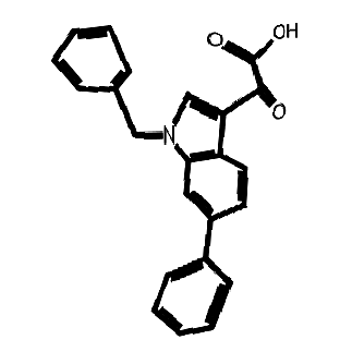 O=C(O)C(=O)c1cn(Cc2ccccc2)c2cc(-c3ccccc3)ccc12